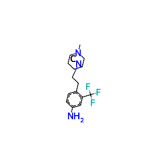 CN1CC2CCC1CN2CCc1ccc(N)cc1C(F)(F)F